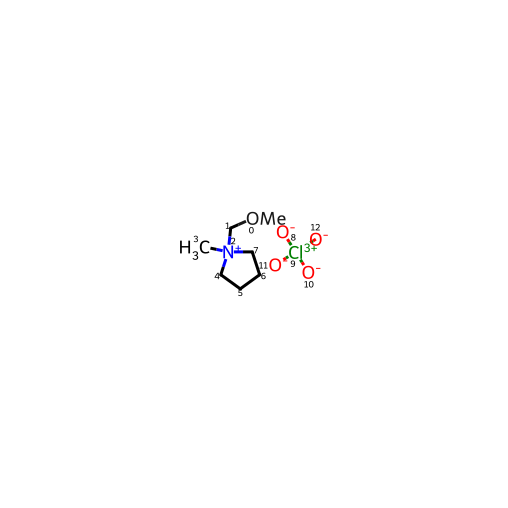 COC[N+]1(C)CCCC1.[O-][Cl+3]([O-])([O-])[O-]